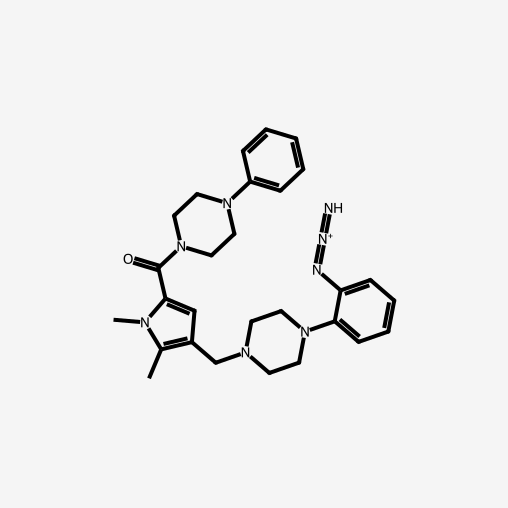 Cc1c(CN2CCN(c3ccccc3N=[N+]=N)CC2)cc(C(=O)N2CCN(c3ccccc3)CC2)n1C